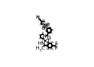 C[C@@H](NC(=O)[C@H]1CCCN1C(=O)c1cccc(S(=O)(=O)N2CC(C#N)C2)c1)c1ccc(C(F)F)cc1